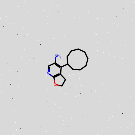 Nc1cnc2c(c1C1CCCCCCCC1)CCO2